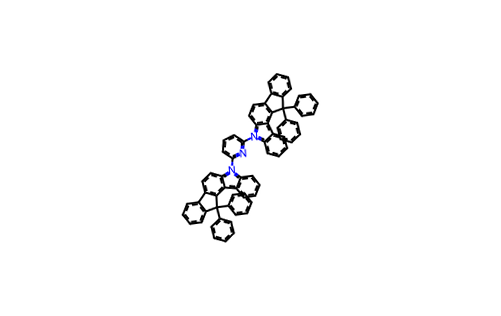 c1ccc(C2(c3ccccc3)c3ccccc3-c3ccc4c(c32)c2ccccc2n4-c2cccc(-n3c4ccccc4c4c5c(ccc43)-c3ccccc3C5(c3ccccc3)c3ccccc3)n2)cc1